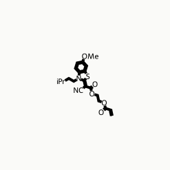 C=CC(=O)OCCOC(=O)/C(C#N)=C1\Sc2cc(OC)ccc2N1CCC(C)C